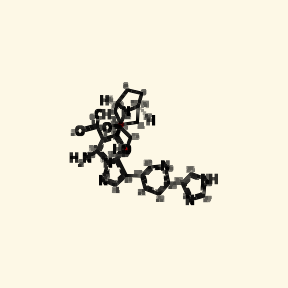 CC(=O)c1c([C@H]2C[C@H]3CC[C@@H](C2)N3C(=O)CO)nc2c(-c3ccc(-c4c[nH]cn4)nc3)cnn2c1N